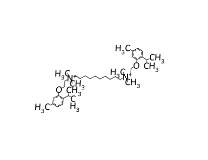 Cc1ccc(C(C)C)c(OCC[N+](C)(C)CCCCCCCCCC[N+](C)(C)CCOc2cc(C)ccc2C(C)C)c1